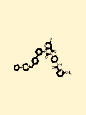 Cc1cccc(C(=O)N[C@H]2CC[C@@H](n3c(=O)c4cc(F)cnc4n(-c4cccc(-c5ccc(CN6CCN(C7CCCC7)CC6)cc5)c4)c3=O)CC2)n1